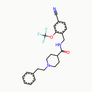 N#Cc1ccc(CNC(=O)C2CCN(CCc3ccccc3)CC2)c(OC(F)(F)F)c1